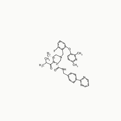 Cc1ccc(Oc2cccc(F)c2CN2C[C@@H](C)N(C(=O)C(C)C)[C@@H](C(=O)NCc3ccc(-c4ncccn4)cc3)C2)c(C)n1